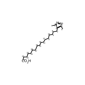 Cc1nnn(C)c1CCCCCCCCCCCCCCCCC(=O)O